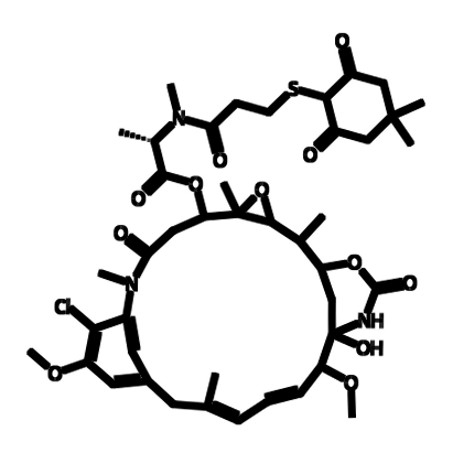 COc1cc2cc(c1Cl)N(C)C(=O)CC(OC(=O)[C@H](C)N(C)C(=O)CCSC1C(=O)CC(C)(C)CC1=O)C1(C)OC1C(C)C1CC(O)(NC(=O)O1)C(OC)/C=C/C=C(\C)C2